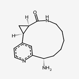 N[C@H]1CCCCCNC(=O)[C@@H]2C[C@@H]2c2ccnc1c2